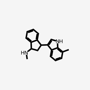 CNC1CC(c2c[nH]c3c(C)cccc23)c2ccccc21